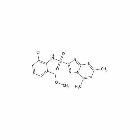 COCc1cccc(Cl)c1NS(=O)(=O)c1nc2nc(C)cc(C)n2n1